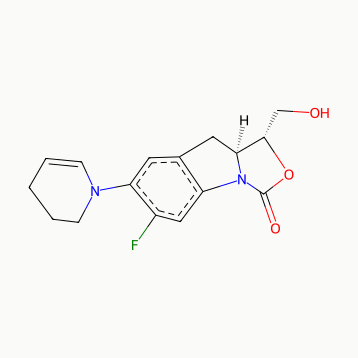 O=C1O[C@@H](CO)[C@@H]2Cc3cc(N4C=CCCC4)c(F)cc3N12